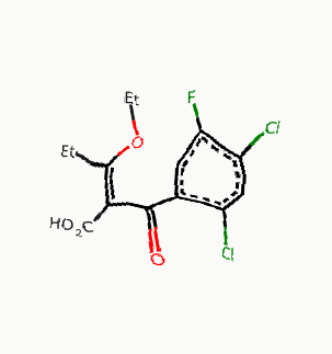 CCOC(CC)=C(C(=O)O)C(=O)c1cc(F)c(Cl)cc1Cl